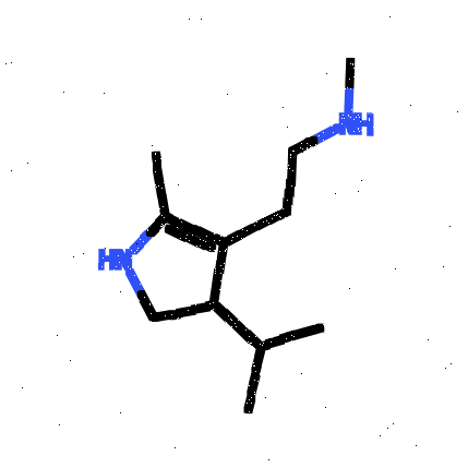 CNCCC1=C(C)NCC1C(C)C